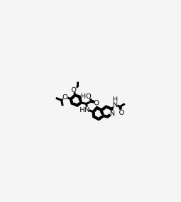 CCOc1cc(C(Nc2ccc3cnc(NC(C)=O)cc3c2)C(=O)O)ccc1OC(C)C